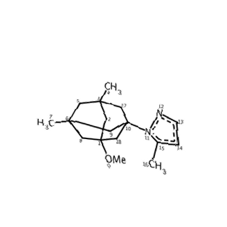 COC12CC3(C)CC(C)(C1)CC(n1nccc1C)(C3)C2